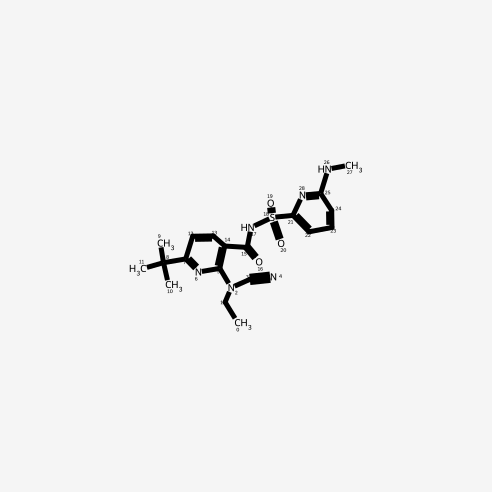 CCN(C#N)c1nc(C(C)(C)C)ccc1C(=O)NS(=O)(=O)c1cccc(NC)n1